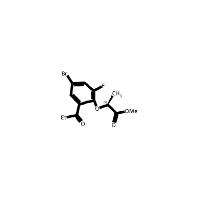 CCC(=O)c1cc(Br)cc(F)c1O[C@@H](C)C(=O)OC